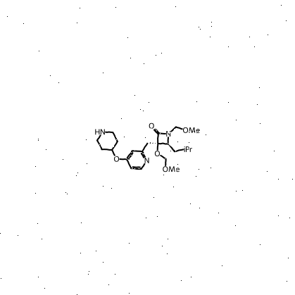 COCO[C@@]1(Cc2cc(OC3CCNCC3)ccn2)C(=O)N(COC)[C@H]1CC(C)C